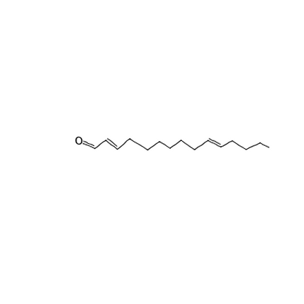 CCCC/C=C/CCCCCC/C=C/C=O